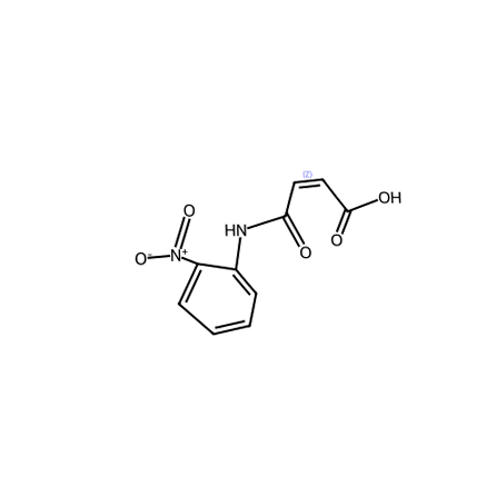 O=C(O)/C=C\C(=O)Nc1ccccc1[N+](=O)[O-]